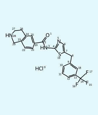 Cl.O=C(Nc1ncc(Cc2cccc(C(F)(F)F)c2)s1)c1ccc2c(c1)CCNC2